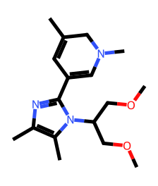 COCC(COC)n1c(C2=CN(C)CC(C)=C2)nc(C)c1C